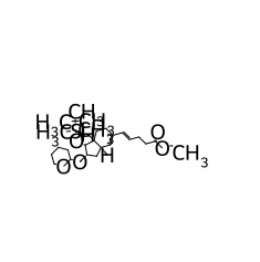 CCOC(=O)CCC=CC1=C[C@@H]2C[C@@H](OC3CCCCO3)[C@@H](O[Si](C)(C)C(C)(C)C)[C@@H]2CC1